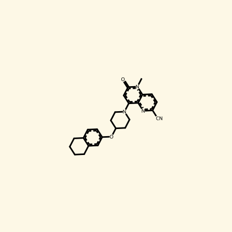 Cn1c(=O)cc(N2CCC(Oc3ccc4c(c3)CCCC4)CC2)c2nc(C#N)ccc21